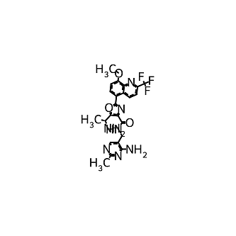 COc1ccc(-c2nc(C(=O)NCc3cnc(C)nc3N)c([C@H](C)N)o2)c2ccc(C(F)(F)F)nc12